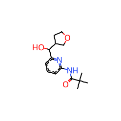 CC(C)(C)C(=O)Nc1cccc(C(O)C2CCOC2)n1